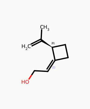 C=C(C)[C@H]1CC/C1=C/CO